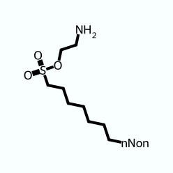 CCCCCCCCCCCCCCCCS(=O)(=O)OCCN